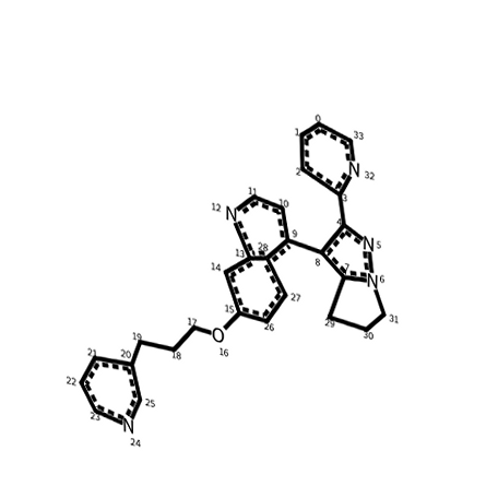 c1ccc(-c2nn3c(c2-c2ccnc4cc(OCCCc5cccnc5)ccc24)CCC3)nc1